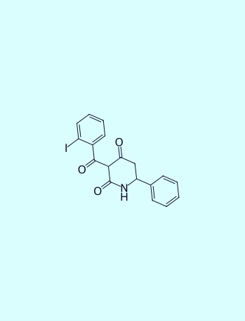 O=C1CC(c2ccccc2)NC(=O)C1C(=O)c1ccccc1I